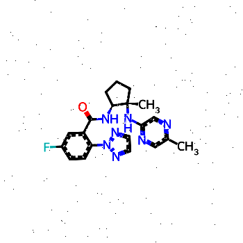 Cc1cnc(N[C@@]2(C)CCC[C@@H]2NC(=O)c2cc(F)ccc2-n2nccn2)cn1